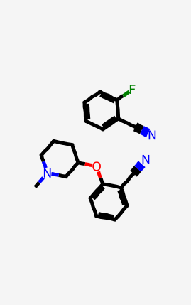 CN1CCCC(Oc2ccccc2C#N)C1.N#Cc1ccccc1F